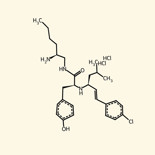 CCCC[C@H](N)CNC(=O)[C@H](Cc1ccc(O)cc1)N[C@H](/C=C/c1ccc(Cl)cc1)CC(C)C.Cl.Cl